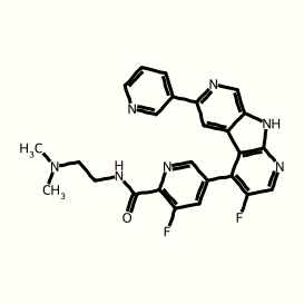 CN(C)CCNC(=O)c1ncc(-c2c(F)cnc3[nH]c4cnc(-c5cccnc5)cc4c23)cc1F